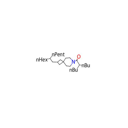 CCCCCCC(CCCCC)CC1CC2(CCN(C(=O)C(CCCC)CCCC)CC2)C1